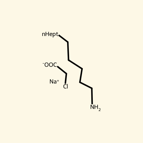 CCCCCCCCCCCCN.O=C([O-])CCl.[Na+]